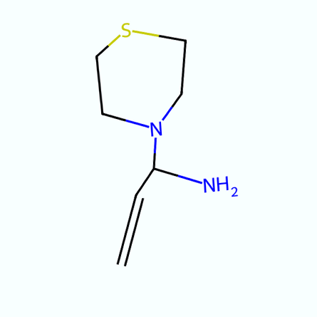 C=CC(N)N1CCSCC1